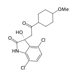 COC1CCC(C(=O)C[C@]2(O)C(=O)Nc3c(Cl)ccc(Cl)c32)CC1